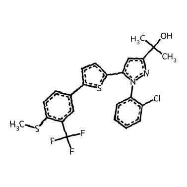 CSc1ccc(-c2ccc(-c3cc(C(C)(C)O)nn3-c3ccccc3Cl)s2)cc1C(F)(F)F